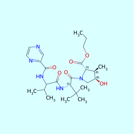 CCCOC(=O)[C@@H]1[C@@H](C)[C@@H](O)CN1C(=O)[C@@H](NC(=O)C(NC(=O)c1cnccn1)C(C)C)C(C)(C)C